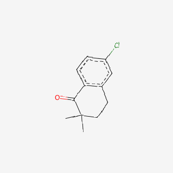 CC1(C)CCc2cc(Cl)ccc2C1=O